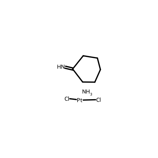 N.N=C1CCCCC1.[Cl][Pt][Cl]